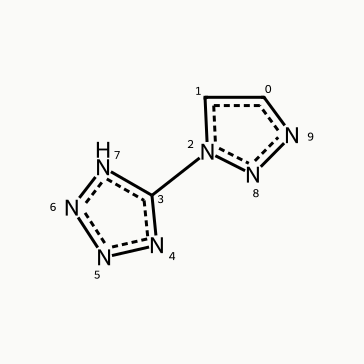 c1cn(-c2nnn[nH]2)nn1